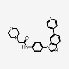 O=C(CN1CCOCC1)Nc1ccc(-n2cnc3ccc(-c4ccncc4)cc32)cc1